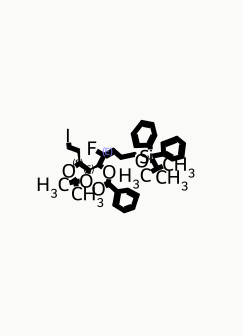 CC1(C)O[C@@H](CCI)[C@@H](C(OC(=O)c2ccccc2)/C(F)=C\CCO[Si](c2ccccc2)(c2ccccc2)C(C)(C)C)O1